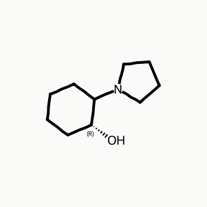 O[C@@H]1CCCCC1N1CCCC1